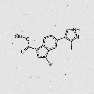 Cc1n[nH]cc1-c1ccc2c(c1)c(Br)cn2C(=O)OC(C)(C)C